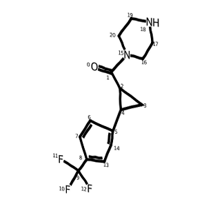 O=C(C1CC1c1ccc(C(F)(F)F)cc1)N1CCNCC1